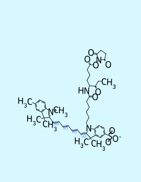 CCC(=O)C(CCCC(=O)ON1C(=O)CCC1=O)NC(=O)CCCCCN1\C(=C/C=C/C=C/C=C/C2=[N+](C)c3ccc(C)cc3C2(C)C)C(C)(C)c2cc(S(=O)(=O)[O-])ccc21